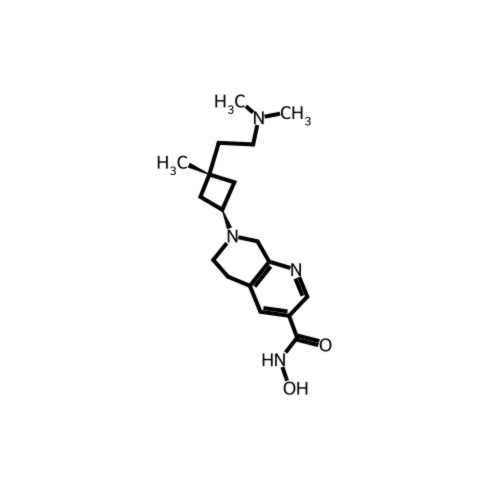 CN(C)CC[C@]1(C)C[C@@H](N2CCc3cc(C(=O)NO)cnc3C2)C1